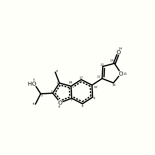 Cc1c(C(C)O)oc2ccc(C3=CC(=O)OC3)cc12